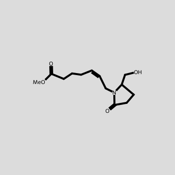 COC(=O)CCC/C=C\CN1C(=O)CCC1CO